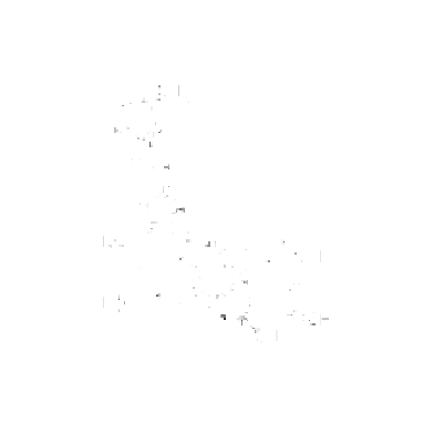 CCCCC(CC)Cc1c2cc(-c3ccc(/C=C/c4ccc(C)s4)s3)sc2c(CC(CC)CCCC)c2cc(C)sc12